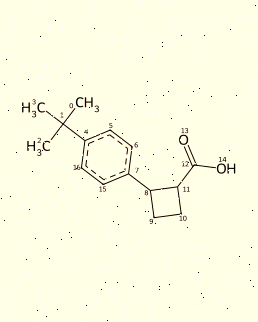 CC(C)(C)c1ccc(C2CCC2C(=O)O)cc1